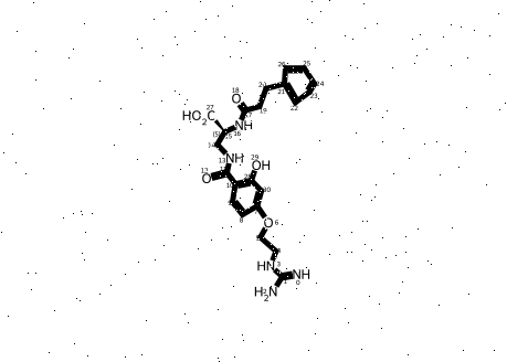 N=C(N)NCCOc1ccc(C(=O)NC[C@H](NC(=O)CCc2ccccc2)C(=O)O)c(O)c1